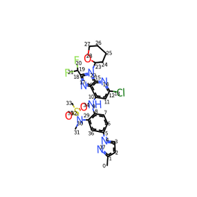 Cc1ccn(-c2ccc(Nc3cc(Cl)nc4c3nc(C(F)F)n4C3CCCCO3)c(N(C)S(C)(=O)=O)c2)n1